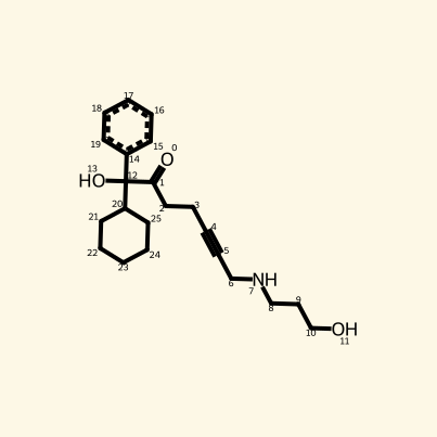 O=C(CCC#CCNCCCO)C(O)(c1ccccc1)C1CCCCC1